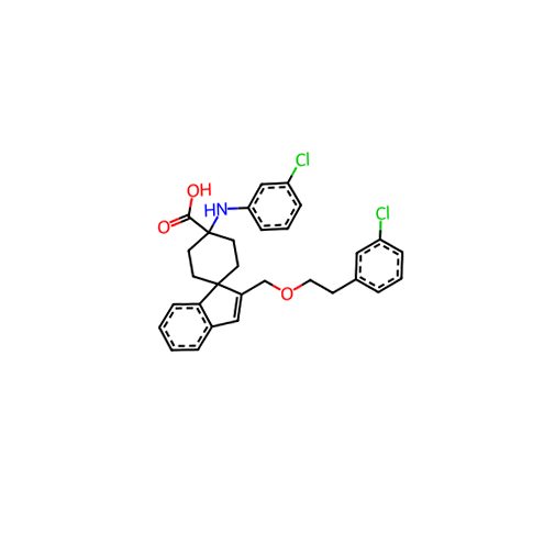 O=C(O)C1(Nc2cccc(Cl)c2)CCC2(CC1)C(COCCc1cccc(Cl)c1)=Cc1ccccc12